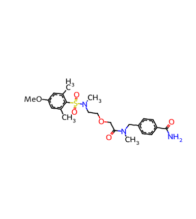 COc1cc(C)c(S(=O)(=O)N(C)CCOCC(=O)N(C)Cc2ccc(C(N)=O)cc2)c(C)c1